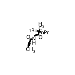 CC#CC(=O)NCC(=O)C(C)(CCC)CCCC